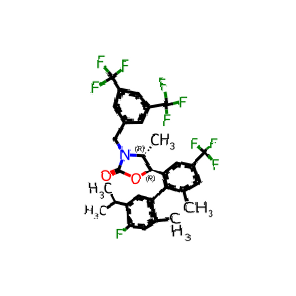 Cc1cc(F)c(C(C)C)cc1-c1c(C)cc(C(F)(F)F)cc1[C@H]1OC(=O)N(Cc2cc(C(F)(F)F)cc(C(F)(F)F)c2)[C@@H]1C